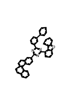 c1ccc(-c2cccc(-c3nc(-c4ccc5c(ccc6ccc7ccccc7c65)c4)nc(-c4cccc5oc6ccccc6c45)n3)c2)cc1